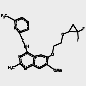 COc1cc2nc(C)nc(NCc3cccc(C(F)(F)F)n3)c2cc1OCCOC1CC1(F)F